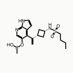 C=C(c1c(OB(C)O)cnc2[nH]ccc12)[C@H]1C[C@@H](NS(=O)(=O)CCCC)C1